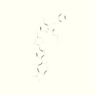 CC1=C(OCc2ccccc2)C(C(=O)NCC=O)NC(CC2CCN(c3ccc(/C4=C/C=C(C(C)O)\C=C/CC4)cc3)CC2)=N1